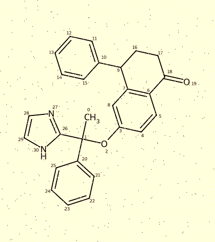 CC(Oc1ccc2c(c1)C(c1ccccc1)CCC2=O)(c1ccccc1)c1ncc[nH]1